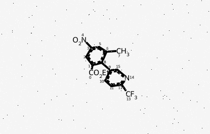 CCOC(=O)c1cc([N+](=O)[O-])cc(C)c1-c1ccc(C(F)(F)F)nc1